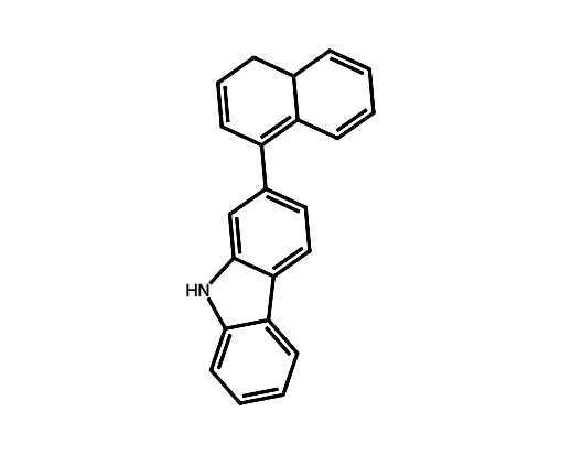 C1=CC2=C(c3ccc4c(c3)[nH]c3ccccc34)C=CCC2C=C1